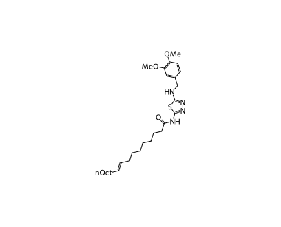 CCCCCCCCC=CCCCCCCCC(=O)Nc1nnc(NCc2ccc(OC)c(OC)c2)s1